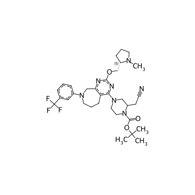 CN1CCC[C@H]1COc1nc2c(c(N3CCN(C(=O)OC(C)(C)C)C(CC#N)C3)n1)CCCN(c1cccc(C(F)(F)F)c1)C2